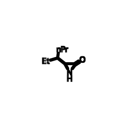 CCCC(CC)C1NC1=O